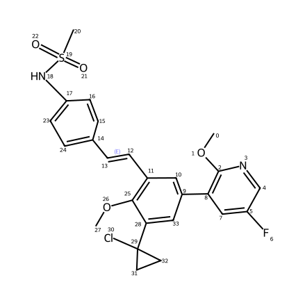 COc1ncc(F)cc1-c1cc(/C=C/c2ccc(NS(C)(=O)=O)cc2)c(OC)c(C2(Cl)CC2)c1